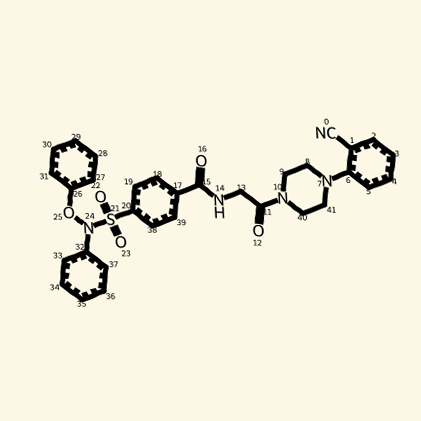 N#Cc1ccccc1N1CCN(C(=O)CNC(=O)c2ccc(S(=O)(=O)N(Oc3ccccc3)c3ccccc3)cc2)CC1